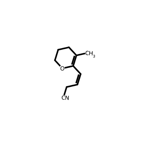 CC1=C(/C=C\CC#N)OCCC1